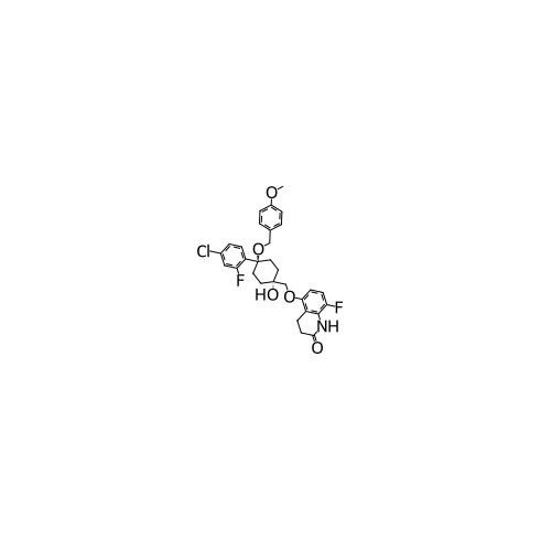 COc1ccc(CO[C@]2(c3ccc(Cl)cc3F)CC[C@](O)(COc3ccc(F)c4c3CCC(=O)N4)CC2)cc1